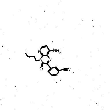 CCCCn1c(=O)c(-c2cccc(C#N)c2)nc2c(N)ccnc21